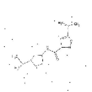 CC(C)c1cc(C(=O)NC2CCN(C(C)C)C2)no1